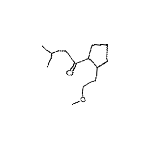 COCCC1CCCC1C(=O)CC(C)C